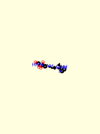 N=C(/C(=C\NC1CC(CCCNc2ccc3c(c2)C(=O)N(C2CCC(=O)NC2=O)C3=O)C1)c1nccc2ccncc12)C1CC1